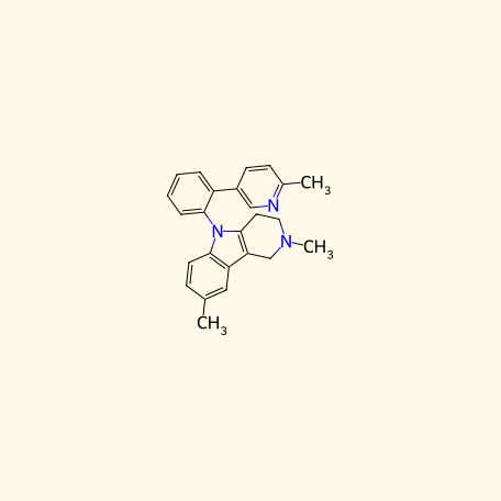 Cc1ccc2c(c1)c1c(n2-c2ccccc2-c2ccc(C)nc2)CCN(C)C1